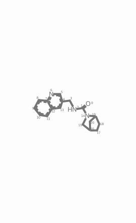 O=C(NCc1cnc2ccccc2c1)N1CC2CCC1C2